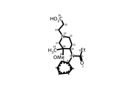 CCC(=O)N(c1ccccc1)C1CCN(CCC(=O)O)CC1(C)OC